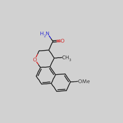 COc1ccc2ccc3c(c2c1)C(C)C(C(N)=O)CO3